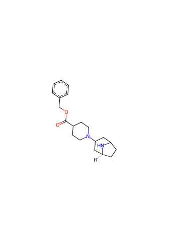 O=C(OCc1ccccc1)C1CCN(C2CC3CC[C@@H](C2)N3)CC1